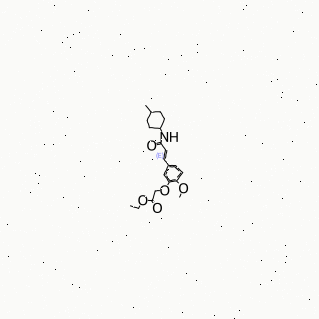 CCOC(=O)COc1cc(/C=C/C(=O)NC2CCC(C)CC2)ccc1OC